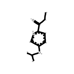 CCC(=O)c1ccc(OC(C)C)cn1